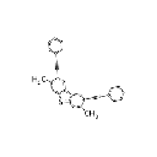 Cc1cc2sc3cc(C)c(C#Cc4ccccc4)cc3c2cc1C#Cc1ccccc1